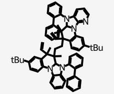 C=CC1(C)c2cc(C(C)(C)C)ccc2N2c3ccccc3N(c3ccccc3-c3ccccc3)C2C1(C)CCC1(C=C)c2ccc(C(C)(C)C)cc2N2c3ncccc3N(c3ccccc3-c3ccccc3)C2C1(C)C